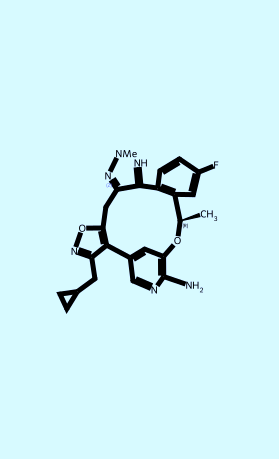 CN/N=C1/Cc2onc(CC3CC3)c2-c2cnc(N)c(c2)O[C@H](C)c2cc(F)ccc2C1=N